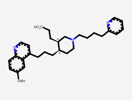 COc1ccc2nccc(CCC[C@@H]3CCN(CCCCc4ccccn4)C[C@@H]3CCC(=O)O)c2c1